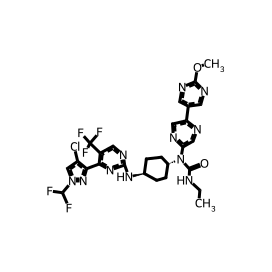 CCNC(=O)N(c1cnc(-c2cnc(OC)nc2)cn1)[C@H]1CC[C@H](Nc2ncc(C(F)(F)F)c(-c3nn(C(F)F)cc3Cl)n2)CC1